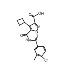 Cc1cc(-c2cn3nc(C(=O)O)c(C4CCC4)c3c(=O)[nH]2)ccc1Cl